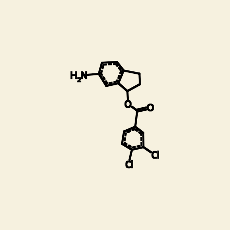 Nc1ccc2c(c1)C(OC(=O)c1ccc(Cl)c(Cl)c1)CC2